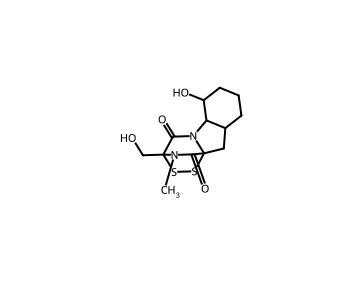 CN1C(=O)C23CC4CCCC(O)C4N2C(=O)C1(CO)SS3